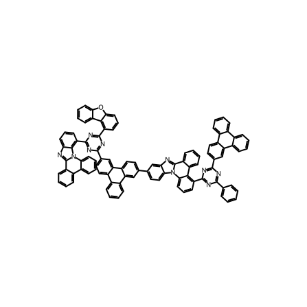 c1ccc(-c2nc(-c3ccc4c5ccccc5c5ccccc5c4c3)nc(-c3cccc4c3c3ccccc3c3nc5cc(-c6ccc7c(c6)c6ccccc6c6ccc(-c8nc(-c9cccc%10oc%11ccccc%11c9%10)nc(-c9cccc%10nc%11c%12ccccc%12c%12ccccc%12n%11c9%10)n8)cc67)ccc5n43)n2)cc1